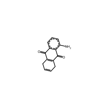 Nc1cccc2c1C(=O)C1=C(CC=CC1)C2=O